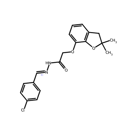 CC1(C)Cc2cccc(OCC(=O)N/N=C/c3ccc(Cl)cc3)c2O1